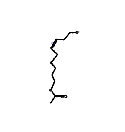 CC(=O)OCCCCC/C=C\CCBr